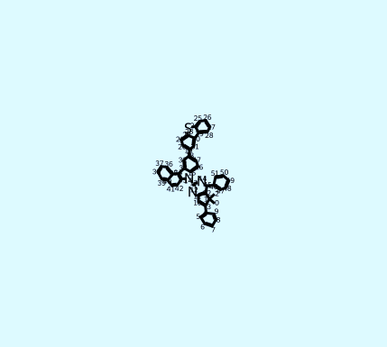 CC1(C)C(c2ccccc2)=Cc2nc(-n3c4ccc(-c5ccc6sc7ccccc7c6c5)cc4c4c5ccccc5ccc43)nc(-c3ccccc3)c21